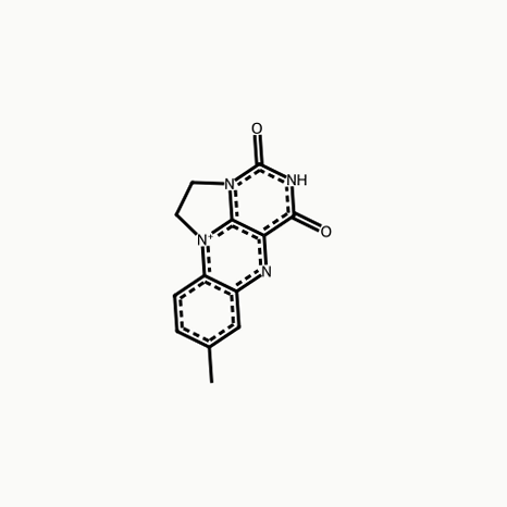 Cc1ccc2c(c1)nc1c(=O)[nH]c(=O)n3c1[n+]2CC3